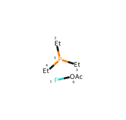 CC(=O)OF.CCP(CC)CC